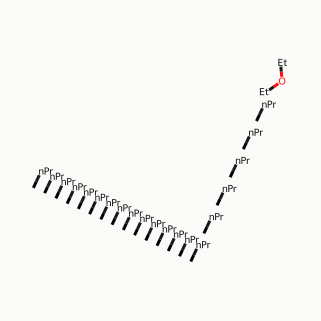 CCCC.CCCC.CCCC.CCCC.CCCC.CCCC.CCCC.CCCC.CCCC.CCCC.CCCC.CCCC.CCCC.CCCC.CCCC.CCCC.CCCC.CCCC.CCCC.CCCC.CCOCC